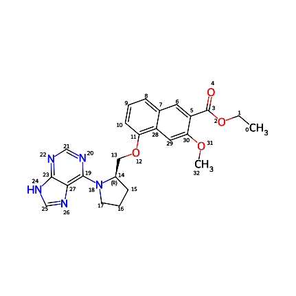 CCOC(=O)c1cc2cccc(OC[C@H]3CCCN3c3ncnc4[nH]cnc34)c2cc1OC